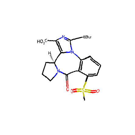 CC(C)(C)c1nc(C(=O)O)c2n1-c1cccc(S(C)(=O)=O)c1C(=O)N1CCC[C@@H]21